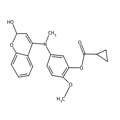 COc1ccc(N(C)C2=CC(O)Oc3ccccc32)cc1OC(=O)C1CC1